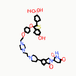 O=C1CCC(N2Cc3cc(C4CCN(CCCN5CCN(CCOc6ccc(Oc7c(-c8ccc(B(O)O)cc8)sc8cc(O)ccc78)cc6)CC5)CC4)ccc3C2=O)C(=O)N1